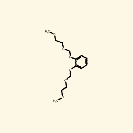 COCCOCOc1c[c]ccc1OCOCCOC